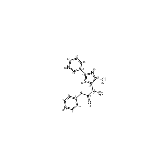 CCN(C(=O)Cc1ccncc1)c1sc(-c2cccnc2)nc1Cl